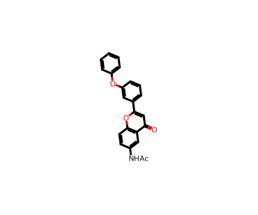 CC(=O)Nc1ccc2oc(-c3cccc(Oc4ccccc4)c3)cc(=O)c2c1